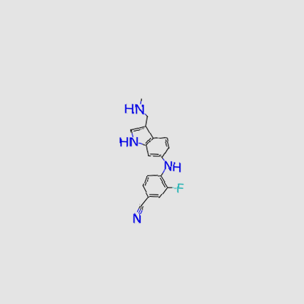 CNCc1c[nH]c2cc(Nc3ccc(C#N)cc3F)ccc12